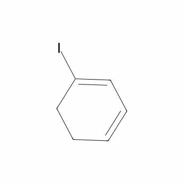 IC1=CC=CCC1